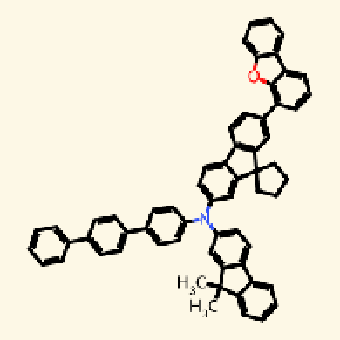 CC1(C)c2ccccc2-c2ccc(N(c3ccc(-c4ccc(-c5ccccc5)cc4)cc3)c3ccc4c(c3)C3(CCCC3)c3cc(-c5cccc6c5oc5ccccc56)ccc3-4)cc21